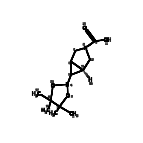 CC1(C)OB(C2C3CN(C(=O)O)C[C@H]32)OC1(C)C